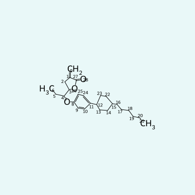 C=C1CC(C(CC)Oc2ccc(C3CCC(CCCCCC)CC3)cc2)OC1=O